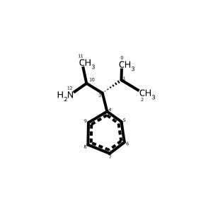 CC(C)[C@H](c1ccccc1)C(C)N